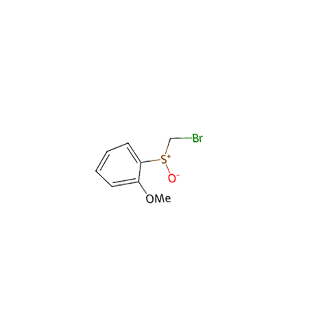 COc1ccccc1[S+]([O-])CBr